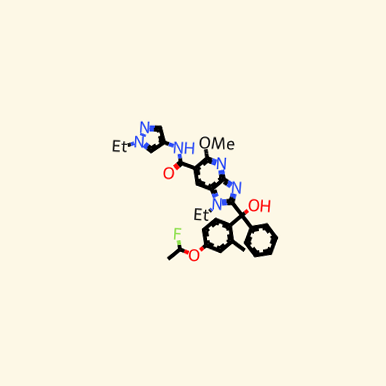 CCn1cc(NC(=O)c2cc3c(nc2OC)nc(C(O)(c2ccccc2)c2ccc(OC(C)F)cc2C)n3CC)cn1